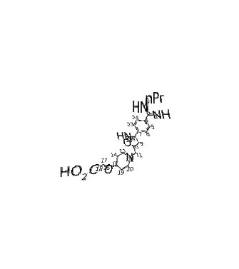 CCCNC(=N)c1ccc(C2CC(CN3CCC(OCC(=O)O)CC3)ON2)cc1